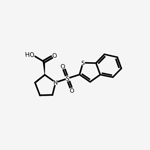 O=C(O)[C@@H]1CCCN1S(=O)(=O)c1cc2ccccc2s1